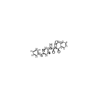 O=C(NC(=O)c1ccccc1Cl)Nc1cnc(Sc2ccccc2)cn1